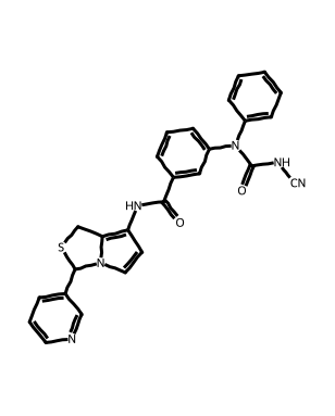 N#CNC(=O)N(c1ccccc1)c1cccc(C(=O)Nc2ccn3c2CSC3c2cccnc2)c1